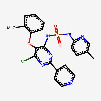 COc1ccccc1Oc1c(Cl)nc(-c2ccncc2)nc1NS(=O)(=O)Nc1ccc(C)cn1